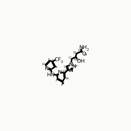 Cc1cc(Nc2cc(C(F)(F)F)ccn2)nc(-c2cn(CC(O)CC(N)=O)nn2)c1